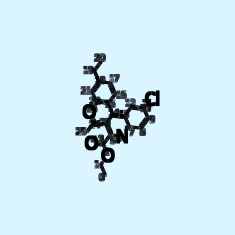 CCOC(=O)c1nc2ccc(Cl)cc2c(-c2ccc(CC)cc2)c1C(C)=O